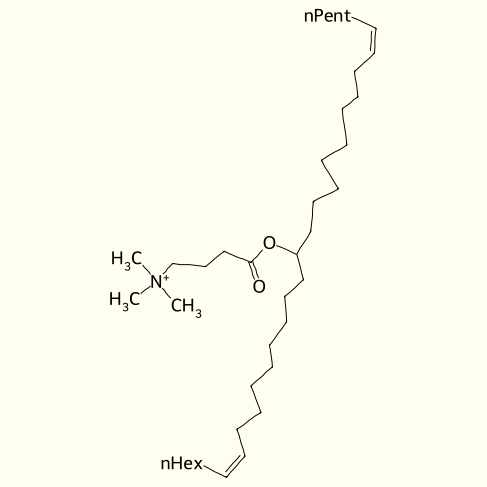 CCCCC/C=C\CCCCCCCCC(CCCCCCCC/C=C\CCCCCC)OC(=O)CCC[N+](C)(C)C